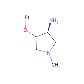 CCOC1CN(C)C[C@@H]1N